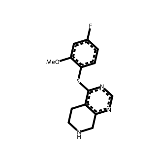 COc1cc(F)ccc1Sc1ncnc2c1CCNC2